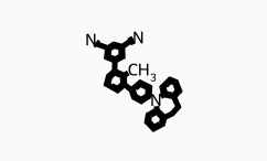 Cc1c(-c2ccc(N3c4ccccc4CCc4ccccc43)cc2)cccc1-c1cc(C#N)cc(C#N)c1